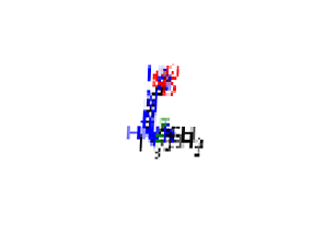 Cc1nc2c(F)cc(-c3nc(Nc4ccc(N5CCC(N6CCN(Cc7ccc8c(c7)C(=O)N(C7CCC(=O)NC7=O)C8=O)CC6)CC5)cn4)ncc3F)cc2n1C(C)C